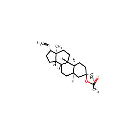 C=C[C@H]1CC[C@H]2[C@@H]3CC[C@@H]4C[C@](C)(OC(C)=O)CC[C@@H]4[C@H]3CC[C@]12C